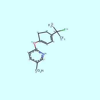 O=C(O)c1ccc(OC2=CC=C(C(F)(C(F)(F)F)C(F)(F)F)CC2)nc1